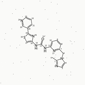 Cc1nccn1Cc1cccc(NC(=O)Nc2csc(-c3cccnc3)n2)n1